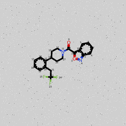 O=C(c1onc2ccccc12)N1CCC(c2ccccc2CC(F)(F)F)CC1